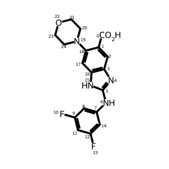 O=C(O)c1cc2nc(Nc3cc(F)cc(F)c3)[nH]c2cc1N1CCOCC1